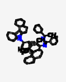 C=C(/C=C\C(=C/C)n1c2ccccc2c2c3ccccc3ccc21)c1c(C(/N=C(\N=C(/C)c2ccccc2)c2ccccc2)=C(/C)CC)ccc2ccccc12